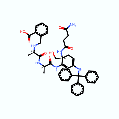 C[C@@H](NCc1ccccc1C(=O)O)C(=O)N[C@H](C)C(=O)NC1=CC(NC(c2ccccc2)(c2ccccc2)c2ccccc2)=CC[C@@]1(CO)NC(=O)CCC(N)=O